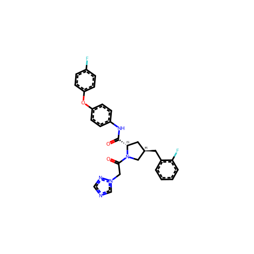 O=C(Nc1ccc(Oc2ccc(F)cc2)cc1)[C@@H]1C[C@@H](Cc2ccccc2F)CN1C(=O)Cn1cncn1